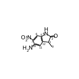 CC1C(=O)Nc2cc([N+](=O)[O-])c(N)cc21